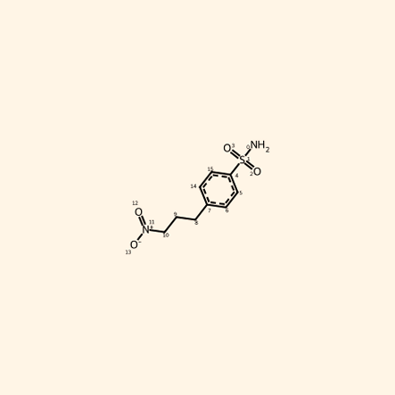 NS(=O)(=O)c1ccc(CCC[N+](=O)[O-])cc1